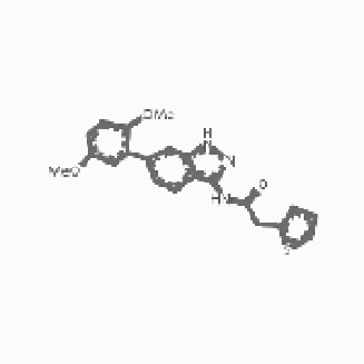 COc1ccc(OC)c(-c2ccc3c(NC(=O)Cc4cccs4)n[nH]c3c2)c1